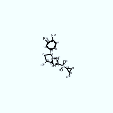 O=S(=O)(c1nc2n(n1)[C@H](c1ccc(F)c(F)c1)C[C@@H]2F)C1C[C@H]1F